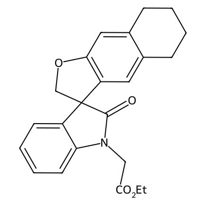 CCOC(=O)CN1C(=O)C2(COc3cc4c(cc32)CCCC4)c2ccccc21